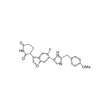 COc1ccc(Cc2ncc(-c3cc4occ(C5CCC(=O)NC5=O)c4cc3F)[nH]2)cc1